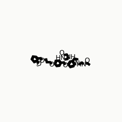 COc1ccccc1COCCCOc1ccc(C(Oc2ccc3c(ccn3CCNC(C)=O)c2)[C@H]2CNCC(=O)N2)cc1